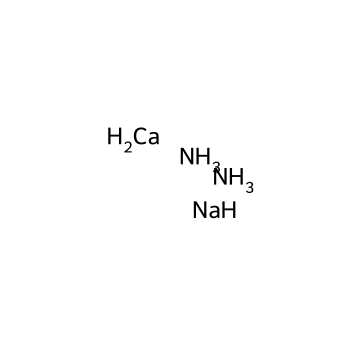 N.N.[CaH2].[NaH]